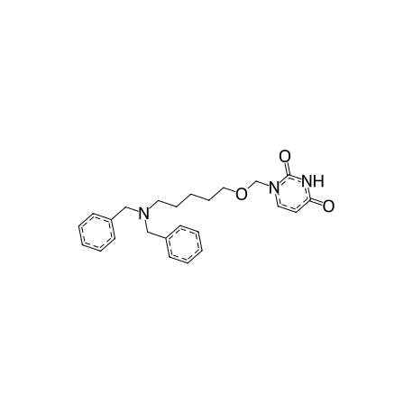 O=c1ccn(COCCCCCN(Cc2ccccc2)Cc2ccccc2)c(=O)[nH]1